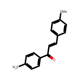 CSc1ccc(C=CC(=O)c2ccc(C)cc2)cc1